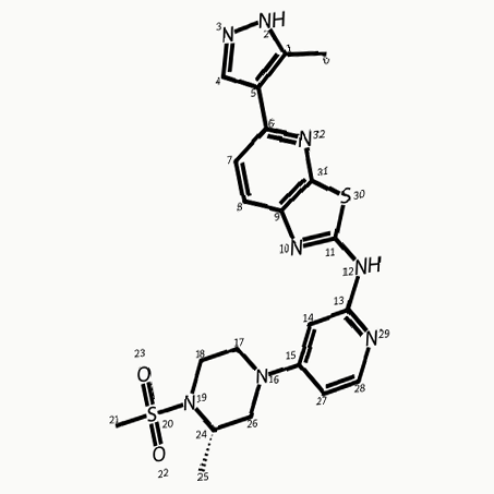 Cc1[nH]ncc1-c1ccc2nc(Nc3cc(N4CCN(S(C)(=O)=O)[C@@H](C)C4)ccn3)sc2n1